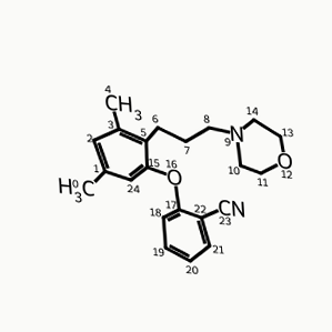 Cc1cc(C)c(CCCN2CCOCC2)c(Oc2ccccc2C#N)c1